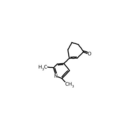 Cc1cc(C2=CC(=O)CCC2)cc(C)n1